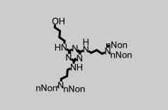 CCCCCCCCCN(CCCCCCCCC)CCCNc1nc(NCCCCO)nc(NCCCN(CCCCCCCCC)CCCCCCCCC)n1